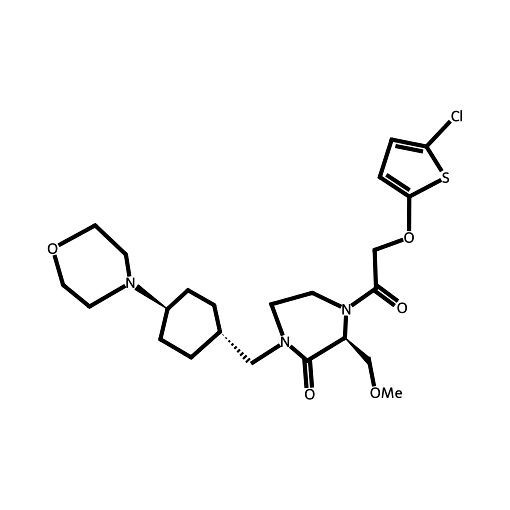 COC[C@H]1C(=O)N(C[C@H]2CC[C@H](N3CCOCC3)CC2)CCN1C(=O)COc1ccc(Cl)s1